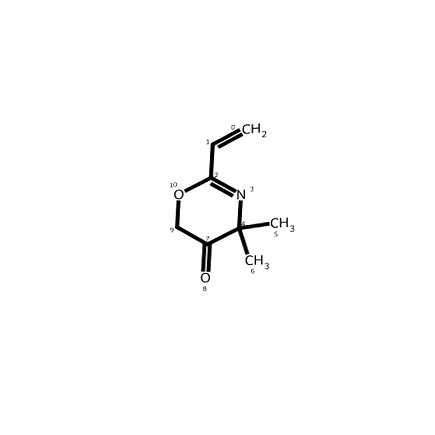 C=CC1=NC(C)(C)C(=O)CO1